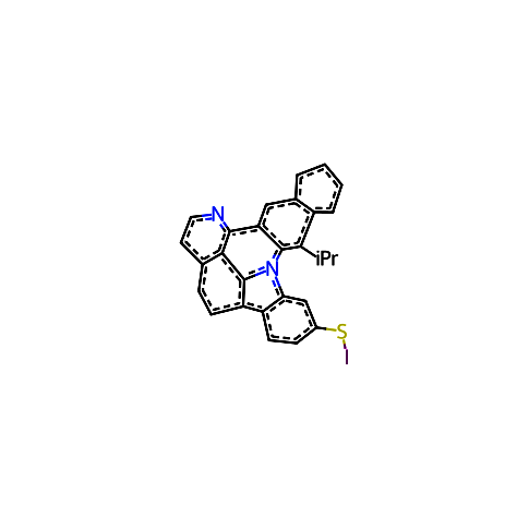 CC(C)c1c2ccccc2cc2c3nccc4ccc5c6ccc(SI)cc6n(c12)c5c43